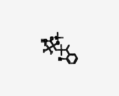 CC(c1ccccc1Br)C(C)(C)CC(O[Si](C)(C)C)(C(=O)O)C(F)(F)F